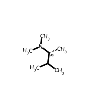 CC(C)[C@@H](C)N(C)C